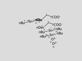 CCCCCCCCCCCC(=O)[O-].CCCCCCCCCCCC(=O)[O-].CCC[CH2][Sn+2][CH2]CCC.CCC[CH2][Sn+2][CH2]CCC.CCC[CH2][Sn+2][CH2]CCC.[O-2].[O-2]